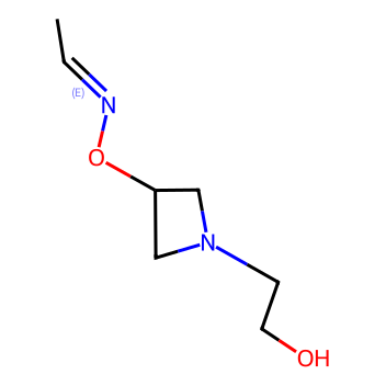 C/C=N/OC1CN(CCO)C1